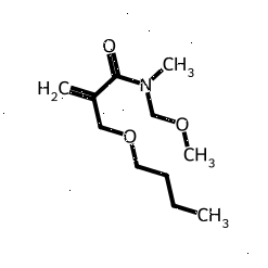 C=C(COCCCC)C(=O)N(C)COC